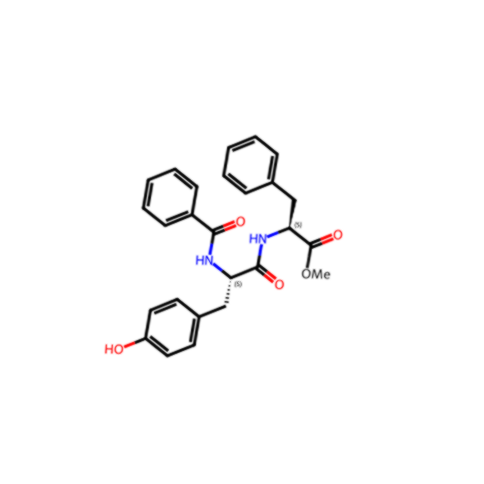 COC(=O)[C@H](Cc1ccccc1)NC(=O)[C@H](Cc1ccc(O)cc1)NC(=O)c1ccccc1